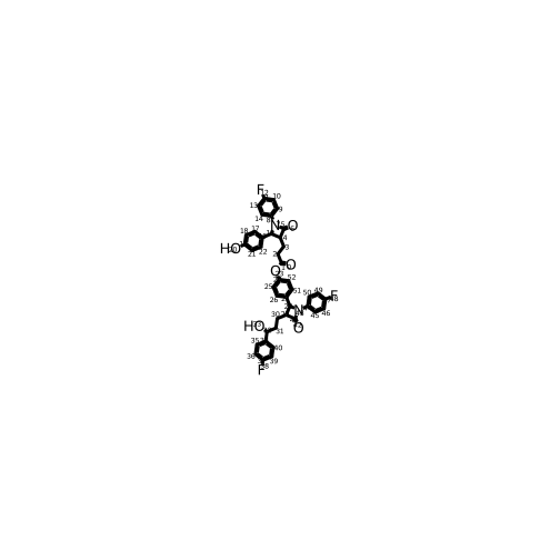 O=C(CCC1C(=O)N(c2ccc(F)cc2)C1c1ccc(O)cc1)Oc1ccc(C2C(CCC(O)c3ccc(F)cc3)C(=O)N2c2ccc(F)cc2)cc1